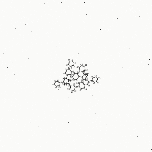 c1ccc(-c2ccc(-c3nc(-c4ccccc4)nc(-c4cccc(-c5ccc6cc(-c7ccccc7)n7nc(-c8ccccc8)c(-c8ccccc8)c7c6c5)c4)n3)cc2)cc1